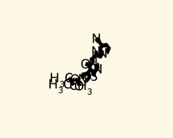 CC(C)(C)OC(=O)N1Cc2sc3ncn(Cc4cn5cccc(C#N)c5n4)c(=O)c3c2C1